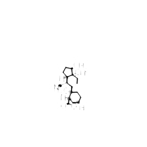 C=C1CC[C@H]2[C@H](C#N)[C@@H]([C@@]3(C)CC[C@H]4C[C@@H]3C(=O)O4)CC[C@]12C